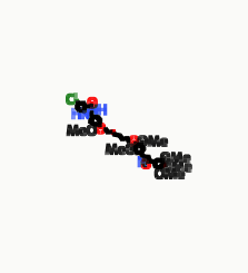 COc1cc(C2NC(=O)c3cc(Cl)ccc3N2)ccc1OCCCCCCCCOc1c(OC)cc(-c2cc(-c3cc(OC)c(OC)c(OC)c3)on2)cc1OC